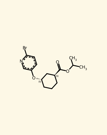 CC(C)OC(=O)[C@H]1CCC[C@H](Oc2ccc(Br)nc2)C1